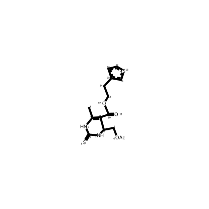 CC(=O)OCC1NC(=S)NC(C)=C1C(=O)OCCc1ccsc1